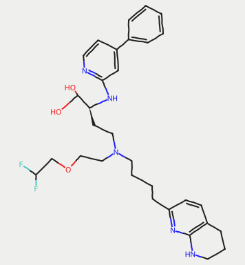 OC(O)[C@H](CCN(CCCCc1ccc2c(n1)NCCC2)CCOCC(F)F)Nc1cc(-c2ccccc2)ccn1